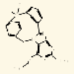 CC(C)(C)CNc1nc(C=O)nc2nc3n(c12)Cc1ccc(cc1)S(F)(F)c1cccc-3c1